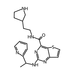 CC(Nc1nc(C(=O)NCCC2CCNC2)c2sccc2n1)c1ccccn1